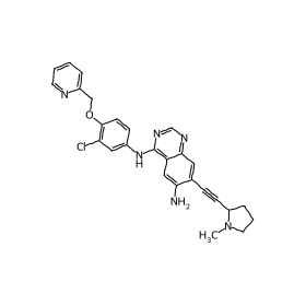 CN1CCCC1C#Cc1cc2ncnc(Nc3ccc(OCc4ccccn4)c(Cl)c3)c2cc1N